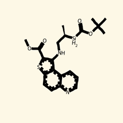 COC(=O)c1sc2ccc3ncccc3c2c1NC[C@@H](C)[SiH2]C(=O)OC(C)(C)C